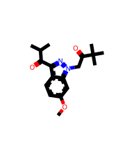 COc1ccc2c(C(=O)C(C)C)nn(CC(=O)C(C)(C)C)c2c1